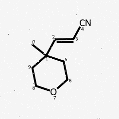 CC1(C=CC#N)CCOCC1